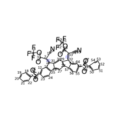 N#C/C(C(=O)OC(F)(F)F)=C1/c2cc(S(=O)(=O)c3ccccc3)ccc2-c2cc3c(cc21)/C(=C(/C#N)C(=O)OC(F)(F)F)c1cc(S(=O)(=O)c2ccccc2)ccc1-3